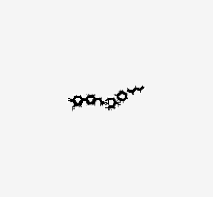 CCCCC[C@H]1CC[C@H](C2(F)CC[SiH](CCc3ccc(-c4ccc(F)c(F)c4)cc3)CC2)CC1